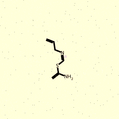 C=CC/N=C\SC(=C)N